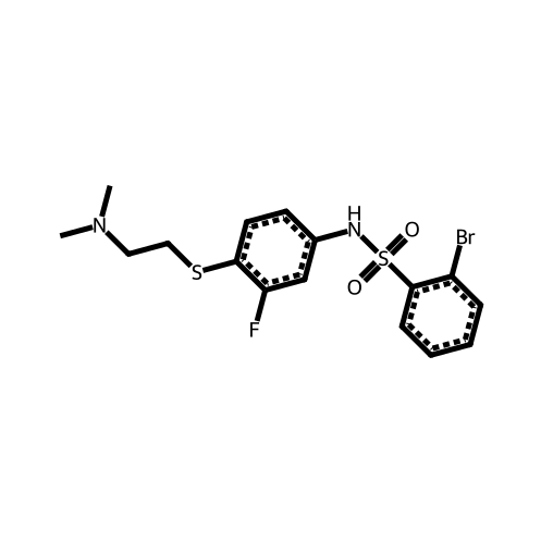 CN(C)CCSc1ccc(NS(=O)(=O)c2ccccc2Br)cc1F